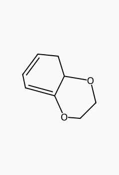 C1=CCC2OCCOC2=C1